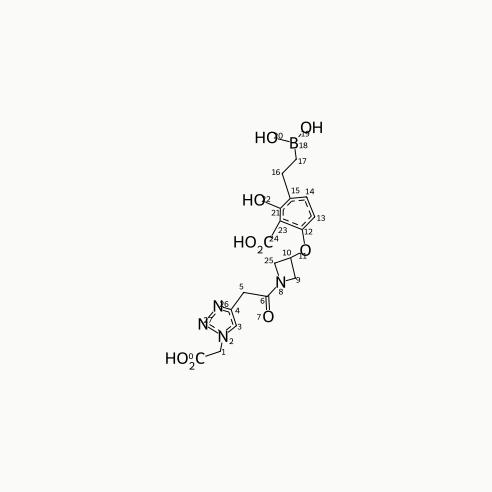 O=C(O)Cn1cc(CC(=O)N2CC(Oc3ccc(CCB(O)O)c(O)c3C(=O)O)C2)nn1